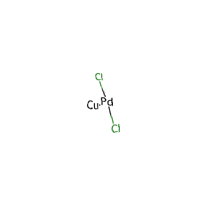 [Cl][Pd][Cl].[Cu]